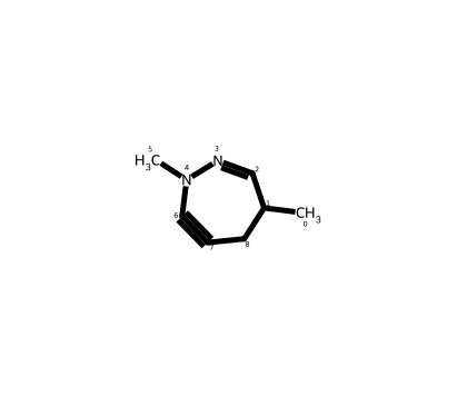 CC1C=NN(C)C#CC1